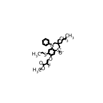 CCCCC1(CC)CN(c2ccccc2)c2cc(SCC)c(O/C=C(\F)C(=O)OC)cc2[S+]([O-])C1